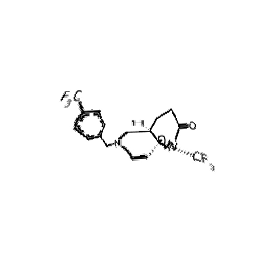 O=C1CC[C@@H]2CN(Cc3ccc(C(F)(F)F)cc3)CC[C@@]23OC[C@H](C(F)(F)F)N13